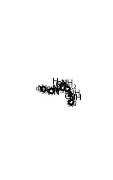 CN1CCN(c2ccc3nc(-c4cc5cc(NC(=O)Nc6ccccc6)ccc5n(N)c4=O)[nH]c3c2)CC1